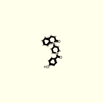 O=C(c1ccc(O)cc1)N1CCC(N2C(=O)CCc3ccccc32)CC1